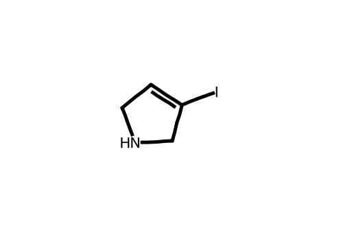 IC1=CCNC1